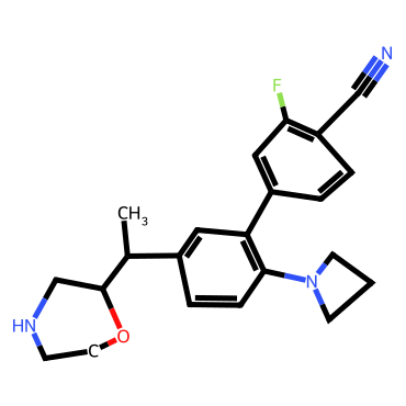 CC(c1ccc(N2CCC2)c(-c2ccc(C#N)c(F)c2)c1)C1CNCCO1